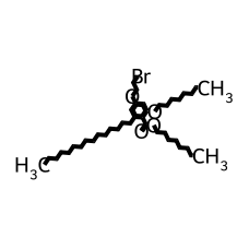 CCCCCCCCCCCCCCCc1cc(OCCBr)cc(OCCCCCCCC)c1C(=O)OCCCCCCCC